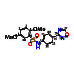 COc1ccc(OC)c(S(=O)(=O)Nc2ccc(-c3ncon3)cc2)c1